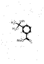 CCCC(C)(C)c1cccc(C(=O)OC)c1